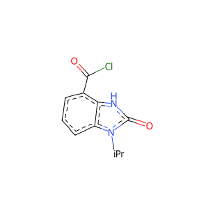 CC(C)n1c(=O)[nH]c2c(C(=O)Cl)cccc21